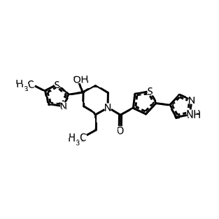 CCC1CC(O)(c2ncc(C)s2)CCN1C(=O)c1csc(-c2cn[nH]c2)c1